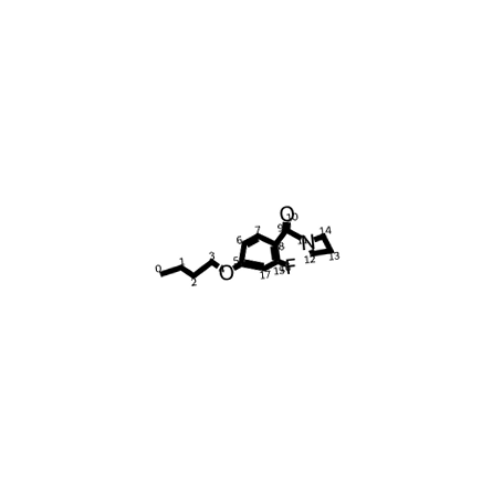 CCCCOc1ccc(C(=O)N2CCC2)c(F)c1